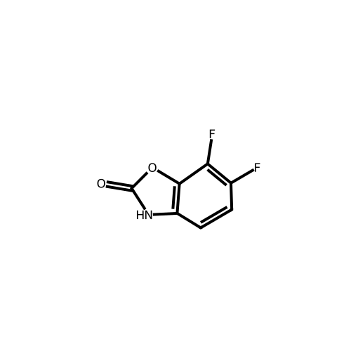 O=c1[nH]c2ccc(F)c(F)c2o1